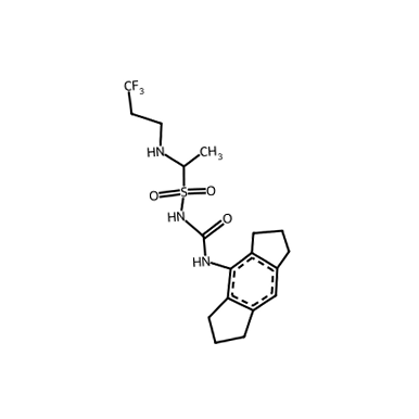 CC(NCCC(F)(F)F)S(=O)(=O)NC(=O)Nc1c2c(cc3c1CCC3)CCC2